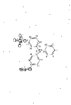 CC(C)(C)Oc1ccc([S+](c2ccccc2)c2ccccc2)cc1.[O-][Cl+3]([O-])([O-])[O-]